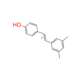 Cc1cc(C)cc(/C=C/c2ccc(O)cc2)c1